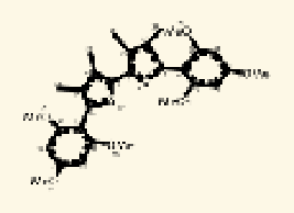 COc1cc(OC)c(-c2sc(-c3sc(-c4c(OC)cc(OC)cc4OC)c(C)c3C)c(C)c2C)c(OC)c1